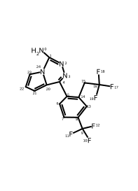 Nc1nnc(-c2ccc(C(F)(F)F)cc2CC(F)(F)F)c2cccn12